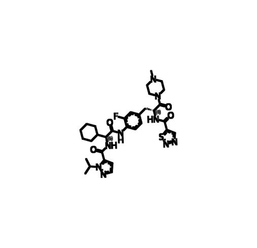 CC(C)n1nccc1C(=O)N[C@H](C(=O)Nc1ccc(C[C@@H](NC(=O)c2cnns2)C(=O)N2CCN(C)CC2)cc1F)C1CCCCC1